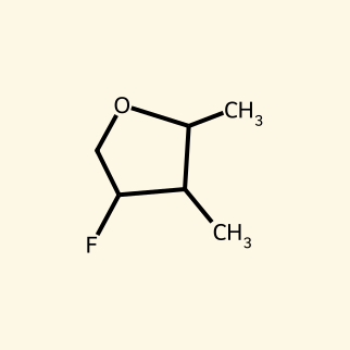 CC1OCC(F)C1C